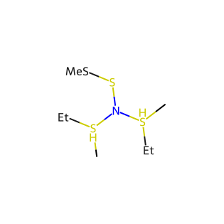 CC[SH](C)N(SSC)[SH](C)CC